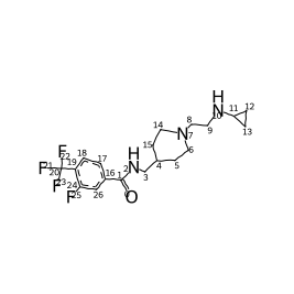 O=C(NCC1CCN(CCNC2CC2)CC1)c1ccc(C(F)(F)F)c(F)c1